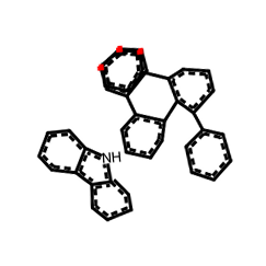 c1ccc(-c2ccccc2-c2c(-c3ccccc3)cccc2-c2ccccc2)cc1.c1ccc2c(c1)[nH]c1ccccc12